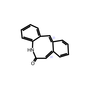 O=C1/C=c2/cccc/c2=C/c2ccccc2N1